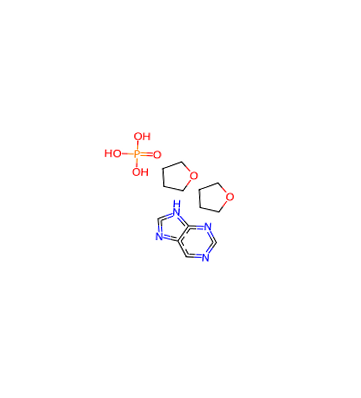 C1CCOC1.C1CCOC1.O=P(O)(O)O.c1ncc2nc[nH]c2n1